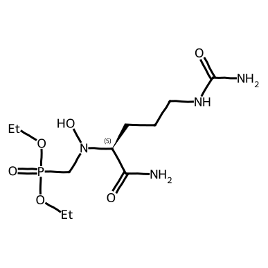 CCOP(=O)(CN(O)[C@@H](CCCNC(N)=O)C(N)=O)OCC